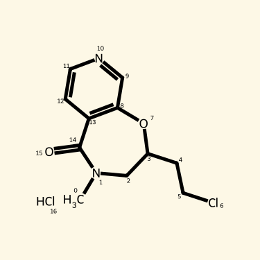 CN1CC(CCCl)Oc2cnccc2C1=O.Cl